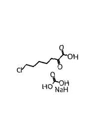 O=C(O)C(=O)CCCCCCl.O=C(O)O.[NaH]